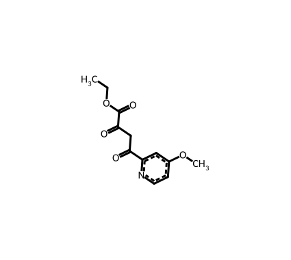 CCOC(=O)C(=O)CC(=O)c1cc(OC)ccn1